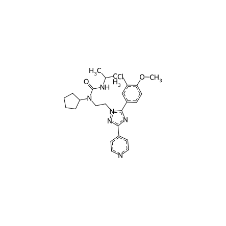 COc1ccc(-c2nc(-c3ccncc3)nn2CCN(C(=O)NC(C)C)C2CCCC2)cc1Cl